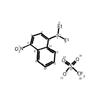 CC[S+](CC)c1ccc([N+](=O)[O-])c2ccccc12.O=S(=O)([O-])C(F)(F)F